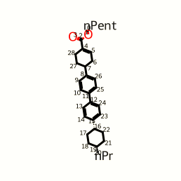 CCCCCOC(=O)C1=CCC(c2ccc(-c3ccc([C@H]4CC[C@H](CCC)CC4)cc3)cc2)CC1